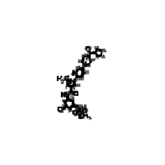 Cn1cc(C(=O)Nc2cc(Cl)cc(NS(C)(=O)=O)c2)cc1-c1ccc(N2CCN(C(=O)C3CCCC3)CC2)cn1